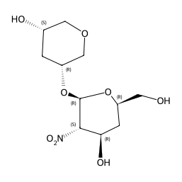 O=[N+]([O-])[C@@H]1[C@@H](O[C@H]2COC[C@@H](O)C2)O[C@@H](CO)C[C@H]1O